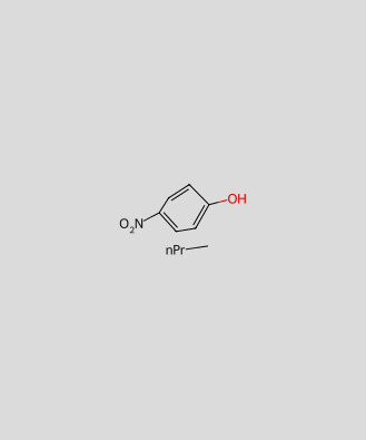 CCCC.O=[N+]([O-])c1ccc(O)cc1